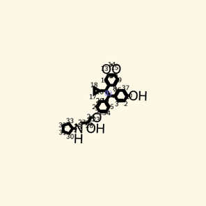 Oc1ccc(/C(=C(\c2ccc3c(c2)OCO3)C2CC2)c2ccc(OCC(O)CNC3CCCC3)cc2)cc1